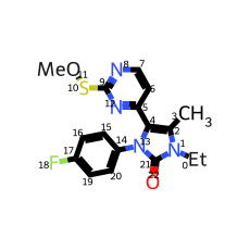 CCn1c(C)c(-c2ccnc(SOC)n2)n(-c2ccc(F)cc2)c1=O